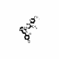 Cc1ccc(NC(C)CNc2nc(-c3ccc(Cl)cc3Cl)cc3nccn23)nc1